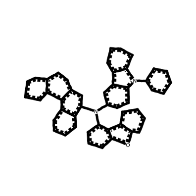 c1ccc(-n2c3ccccc3c3cc(N(c4cc5ccc6ccccc6c5c5ccccc45)c4cccc5oc6ccccc6c45)ccc32)cc1